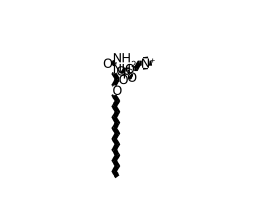 CCCCCCCCCCCCCCCCOCC(CNC(N)=O)OP(=O)([O-])OCC[N+](C)(C)C